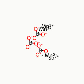 [Mn+2].[Mn+2].[Mn+2].[O-]B([O-])[O-].[O-]B([O-])[O-].[O-]B([O-])[O-].[Sb+3]